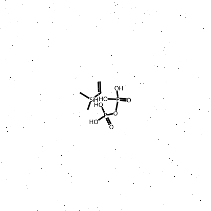 C=C[SiH](C)C.O=P(O)(O)OP(=O)(O)O